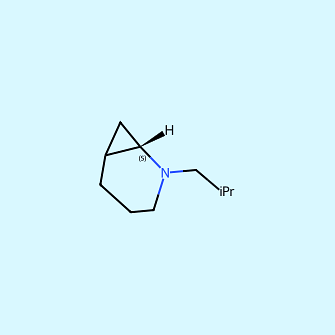 CC(C)CN1CCCC2C[C@@H]21